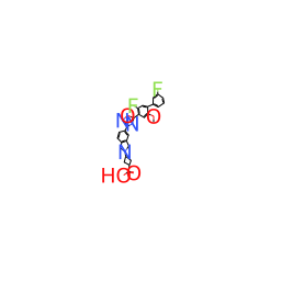 COc1cc(-c2nc(-c3ccc4c(c3)CN(C3CC(C(=O)O)C3)C4)no2)c(F)cc1-c1cccc(F)c1